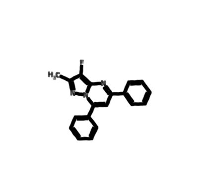 Cc1nn2c(-c3ccccc3)cc(-c3ccccc3)nc2c1F